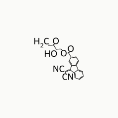 C=CC(=O)C(O)COC(=O)c1ccc2c(c1)C(=C(C#N)C#N)c1ccccc1-2